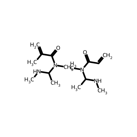 C=C(C)C(=O)N(C)C(C)NC.C=CC(=O)N(C)C(C)NC